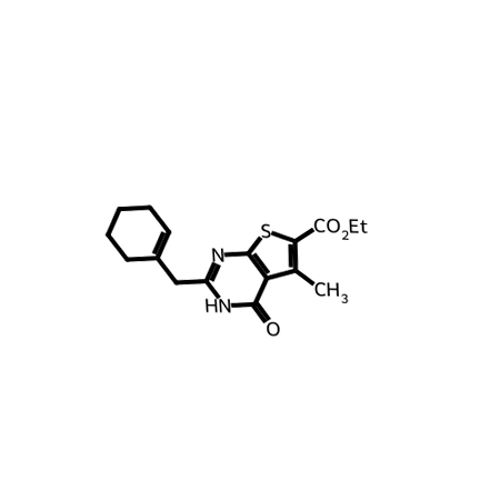 CCOC(=O)c1sc2nc(CC3=CCCCC3)[nH]c(=O)c2c1C